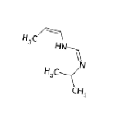 C/C=C\N/C=N\C(C)C